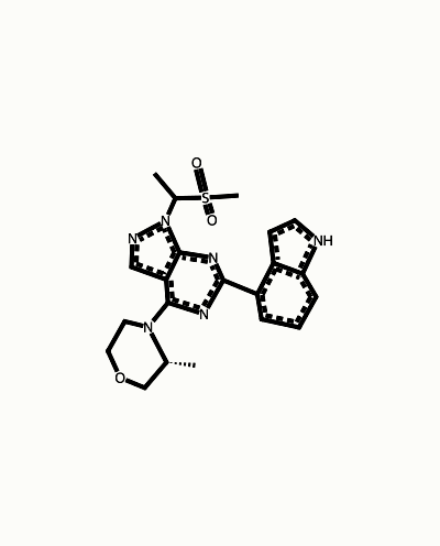 CC(n1ncc2c(N3CCOC[C@H]3C)nc(-c3cccc4[nH]ccc34)nc21)S(C)(=O)=O